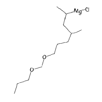 CCCOCOCCCC(C)C[CH](C)[Mg][Cl]